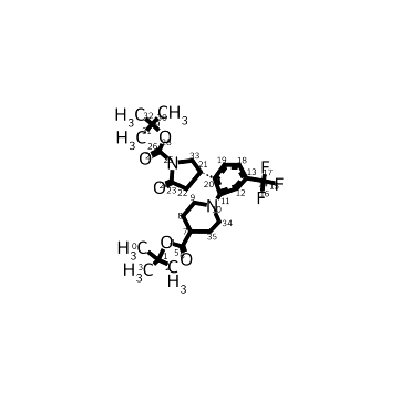 CC(C)(C)OC(=O)C1CCN(c2cc(C(F)(F)F)ccc2[C@@H]2CC(=O)N(C(=O)OC(C)(C)C)C2)CC1